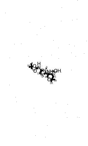 CN1C(NC(=O)OC(C)(C)C)=CSC1[C@]1(N)COC(C)(C)C[C@H]1CO